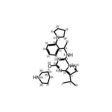 CC(C)c1cnn2c(NC(C)c3ccccc3N3CCCC3)nc(O[C@@H]3CCCNC3)nc12